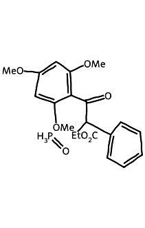 CCOC(=O)C(C(=O)c1c(OC)cc(OC)cc1OC)c1ccccc1.O=[PH3]